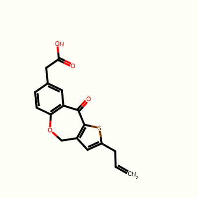 C=CCc1cc2c(s1)C(=O)c1cc(CC(=O)O)ccc1OC2